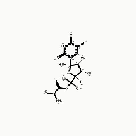 BC(B)(OC(=O)[C@@H](N)C(C)C)[C@@]1(F)O[C@@](B)(n2cc(F)c(=O)[nH]c2=S)[C@H](O)[C@@H]1O